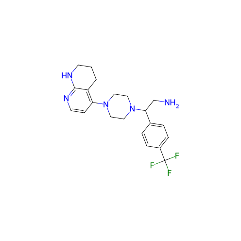 NCC(c1ccc(C(F)(F)F)cc1)N1CCN(c2ccnc3c2CCCN3)CC1